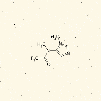 CN(C(=O)C(F)(F)F)c1cncn1C